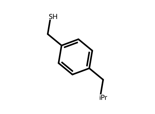 CC(C)Cc1ccc(CS)cc1